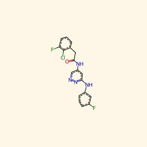 O=C(Cc1cccc(F)c1Cl)Nc1cnnc(Nc2cccc(F)c2)c1